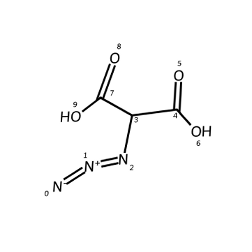 [N-]=[N+]=NC(C(=O)O)C(=O)O